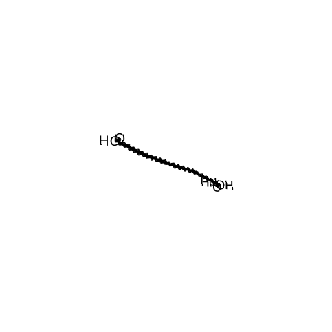 O=C(O)CCCCCCCCCCCCCCCCCCCCCCCCCCCCCCCCCCCCCCCCNCC(=O)O